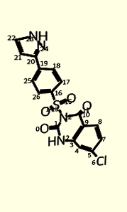 O=c1[nH]c2cc(Cl)ccc2c(=O)n1S(=O)(=O)c1ccc(-c2cc[nH]n2)cc1